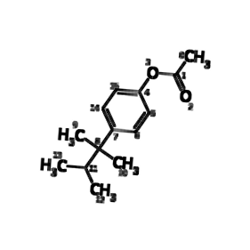 CC(=O)Oc1ccc(C(C)(C)C(C)C)cc1